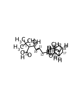 CC(C)(C)C(C(=O)O)C(O)C=CCB1O[C@@H]2[C@@H]3C[C@H](C[C@]2(C)O1)C3(C)C